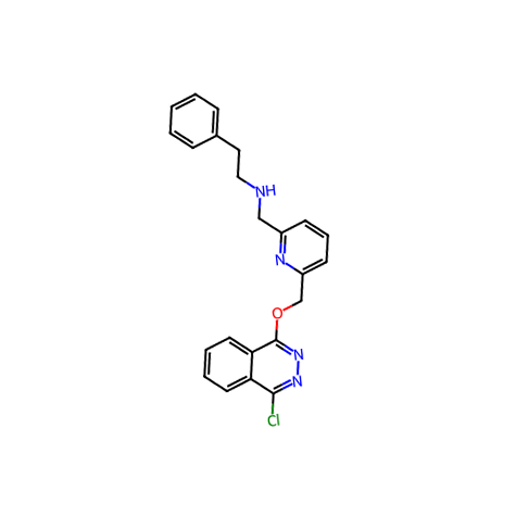 Clc1nnc(OCc2cccc(CNCCc3ccccc3)n2)c2ccccc12